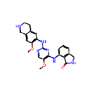 COc1cc2c(cc1Nc1ncc(OC)c(Nc3cccc4c3C(=O)NC4)n1)CCNC2